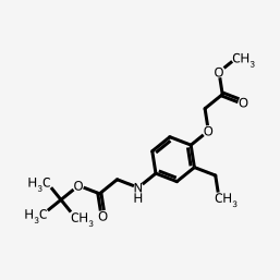 CCc1cc(NCC(=O)OC(C)(C)C)ccc1OCC(=O)OC